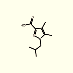 [CH2]c1c(C(=O)O)nn(CC(C)C)c1C